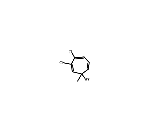 CC(C)C1(C)C=CC=C(Cl)C(Cl)=C1